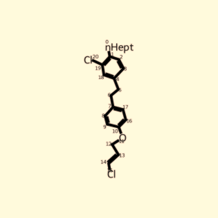 CCCCCCCc1ccc(CCc2ccc(OC/C=C/Cl)cc2)cc1Cl